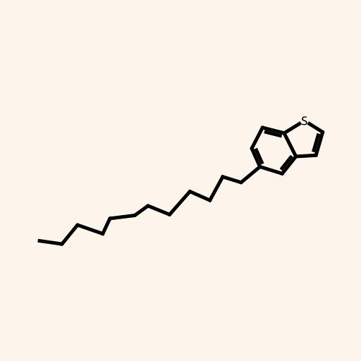 CCCCCCCCCCCCc1ccc2sccc2c1